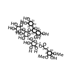 COc1cc(/C=C/C(=O)OC[C@H]2O[C@@H](OC[C@H]3O[C@@H](Oc4cc5c(O)cc(O)cc5[o+]c4-c4ccc(O)c(O)c4)[C@H](O[C@@H]4OC[C@@H](O)[C@H](O)[C@H]4O)[C@@H](O)[C@H]3O)[C@H](O)[C@@H](O)[C@@H]2O)cc(OC)c1O